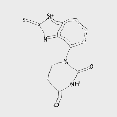 O=C1CCN(c2cccc3c2=NC(=S)[N+]=3)C(=O)N1